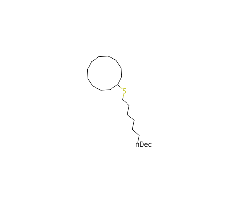 CCCCCCCCCCCCCCCCSC1CCCCCCCCCCC1